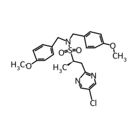 COc1ccc(CN(Cc2ccc(OC)cc2)S(=O)(=O)[C@H](C)Cc2ncc(Cl)cn2)cc1